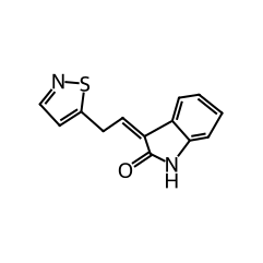 O=C1Nc2ccccc2C1=CCc1ccns1